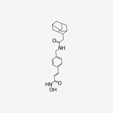 O=C(/C=C/c1ccc(CNC(=O)CC2C3CC4CC(C3)CC2C4)cc1)NO